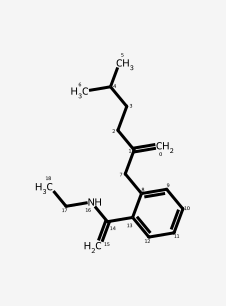 C=C(CCC(C)C)Cc1ccccc1C(=C)NCC